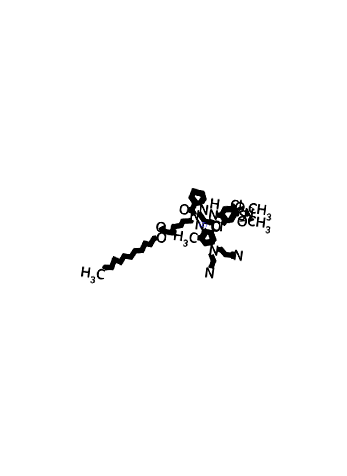 CCCCCCCCCCCCOC(=O)CCCCCn1c(/C(=N/c2ccc(N(CCC#N)CCC#N)cc2C)C(=O)Nc2cc(Cl)c(S(=O)(=O)N(C)C)cc2Cl)nc2ccccc2c1=O